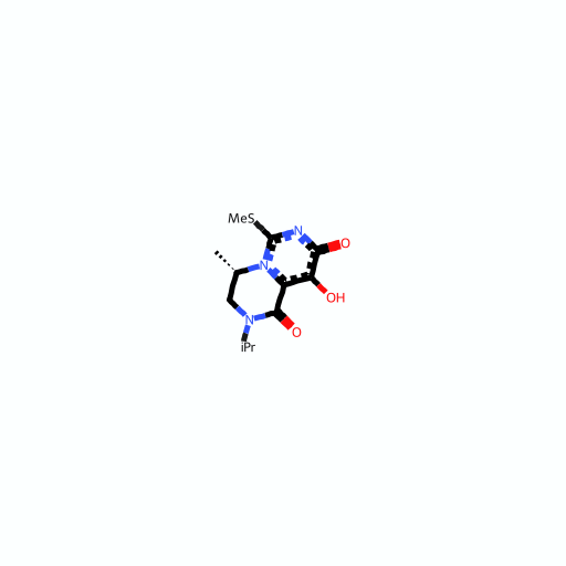 CSc1nc(=O)c(O)c2n1[C@@H](C)CN(C(C)C)C2=O